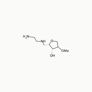 COC1CO[C@@H](CNCCN)[C@H]1O